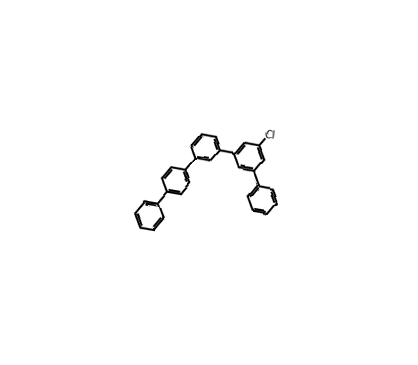 Clc1cc(-c2ccccc2)cc(-c2cccc(-c3ccc(-c4ccccc4)cc3)c2)c1